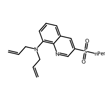 C=CCN(CC=C)c1cccc2cc(S(=O)(=O)CCCCC)cnc12